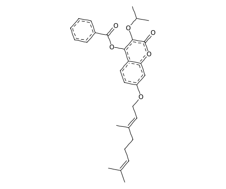 CC(C)=CCC/C(C)=C/COc1ccc2c(OC(=O)c3ccccc3)c(OC(C)C)c(=O)oc2c1